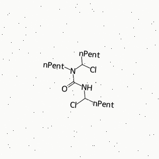 CCCCCC(Cl)NC(=O)N(CCCCC)C(Cl)CCCCC